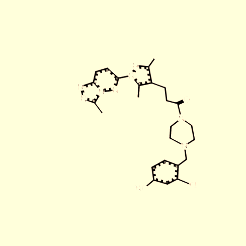 Cc1nn(-c2ccc3nnc(C)n3n2)c(C)c1CCC(=O)N1CCN(Cc2ccc(C#N)cc2Cl)CC1